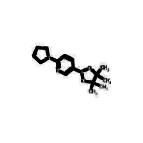 CC1(C)OB(c2ccc(P3CCCC3)nc2)OC1(C)C